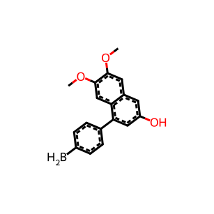 Bc1ccc(-c2cc(O)cc3cc(OC)c(OC)cc23)cc1